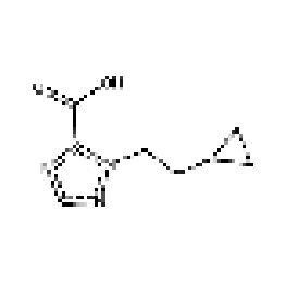 O=C(O)c1ncnn1CCC1CC1